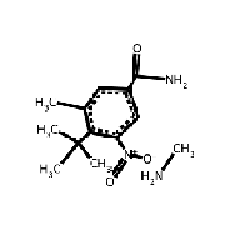 CN.Cc1cc(C(N)=O)cc([N+](=O)[O-])c1C(C)(C)C